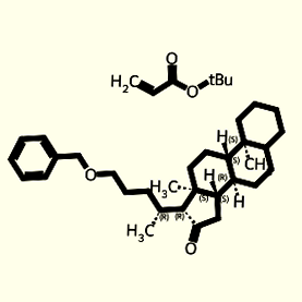 C=CC(=O)OC(C)(C)C.C[C@H](CCCOCc1ccccc1)[C@H]1C(=O)C[C@H]2[C@@H]3CCC4CCCC[C@]4(C)[C@H]3CC[C@]12C